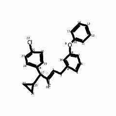 F/C(=C\Cc1cccc(Oc2ccccc2)c1)C(c1ccc(Cl)cc1)C1CC1